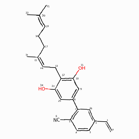 C=Cc1ccc(C#N)c(-c2cc(O)c(CC=C(C)CCC=C(C)C)c(O)c2)c1